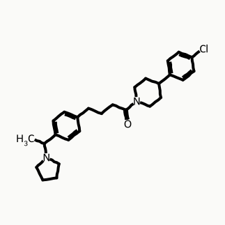 CC(c1ccc(CCCC(=O)N2CCC(c3ccc(Cl)cc3)CC2)cc1)N1CCCC1